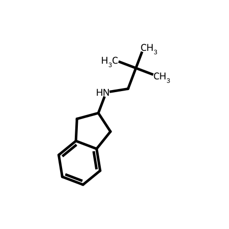 CC(C)(C)CNC1Cc2ccccc2C1